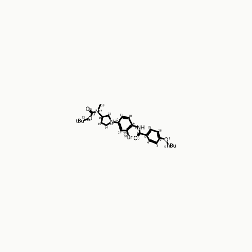 CCCCOc1ccc(C(=O)Nc2ccc(N3CCC(N(C)C(=O)OC(C)(C)C)C3)cc2Br)cc1